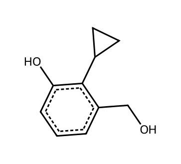 OCc1cccc(O)c1C1CC1